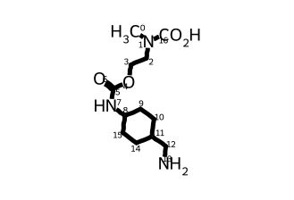 CN(CCOC(=O)NC1CCC(CN)CC1)C(=O)O